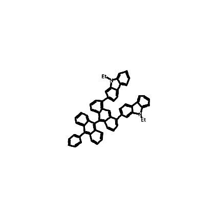 CCn1c2ccccc2c2ccc(-c3cccc4c(-c5c6ccccc6c(-c6ccccc6)c6ccccc56)c5cccc(-c6ccc7c8ccccc8n(CC)c7c6)c5cc34)cc21